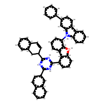 C1=CC(c2nc(-c3ccc4ccccc4c3)nc(-c3cccc4oc5c(-n6c7ccccc7c7ccc(-c8ccccc8)cc76)cccc5c34)n2)Cc2ccccc21